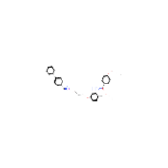 O=C(Nc1cc(OCCCON=Cc2ccc(-c3ccccc3)cc2)ccc1C(=O)O)c1ccc(OC(F)(F)F)cc1